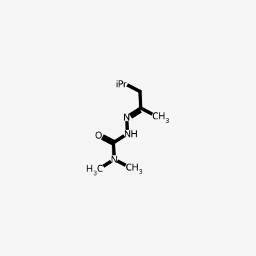 CC(CC(C)C)=NNC(=O)N(C)C